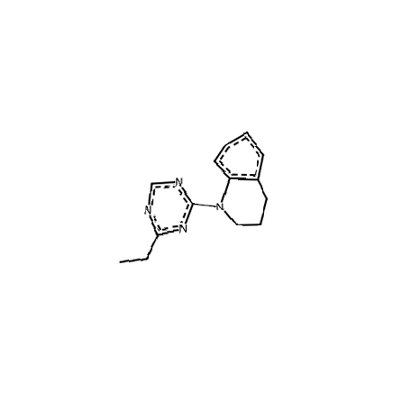 CCc1ncnc(N2CCCc3ccccc32)n1